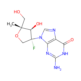 C[C@]1(CO)OC[C@](F)(n2cnc3c(=O)[nH]c(N)nc32)[C@@H]1O